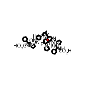 CC1C[C@H](c2ccc3[nH]c([C@@H]4CCCN4C(=O)[C@@H](NC(=O)O)C4CCCCC4)nc3c2)N(c2cc(F)c(N3CCCCC3)c(F)c2)[C@@]1(C)c1ccc2[nH]c([C@@H]3CCCN3C(=O)[C@@H](NC(=O)O)C3CCCCC3)nc2c1